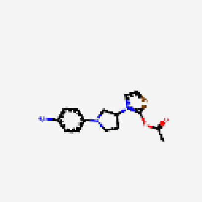 CC(=O)Oc1scc[n+]1C1CCN(c2ccc(N)cc2)C1